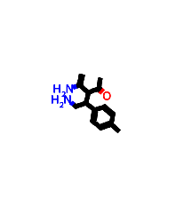 C=C(N)C(C(C)=O)C(CN)c1ccc(C)cc1